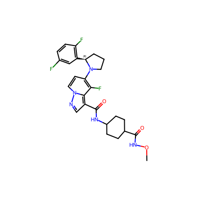 CONC(=O)C1CCC(NC(=O)c2cnn3ccc(N4CCC[C@@H]4c4cc(F)ccc4F)c(F)c23)CC1